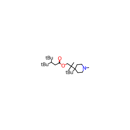 CN1CCC(C(C)(C)C)(C(C)(C)COC(=O)CC(C(C)(C)C)C(C)(C)C)CC1